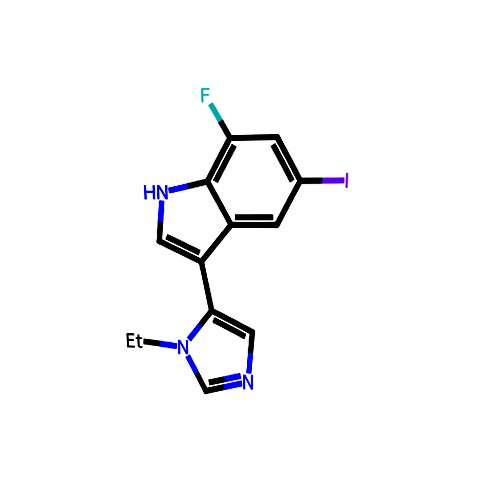 CCn1cncc1-c1c[nH]c2c(F)cc(I)cc12